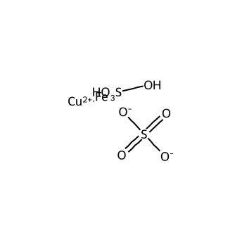 O=S(=O)(O)O.O=S(=O)([O-])[O-].[Cu+2].[Fe]